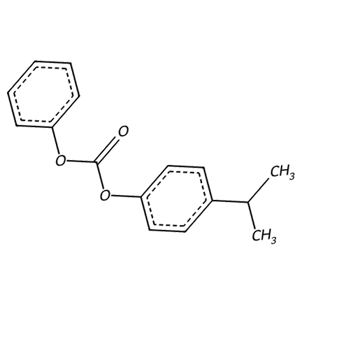 CC(C)c1ccc(OC(=O)Oc2ccccc2)cc1